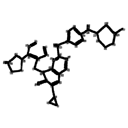 C=C/C(Cn1c(=O)c(C2CC2)cc2cnc(Nc3ccc(NC4CCCN(C)C4)cc3)nc21)=C(\N=C)C1CCNC1